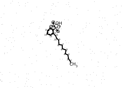 CCCCCCCCCCCCc1ccccc1S(=O)(=O)S(=O)(=O)O